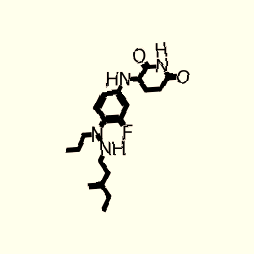 C=C(CC)CCNN(CCC)c1ccc(NC2CCC(=O)NC2=O)cc1F